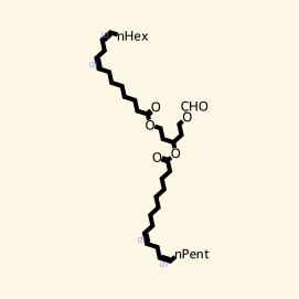 CCCCC/C=C\C/C=C\CCCCCCCC(=O)OC(CCOC=O)CCOC(=O)CCCCCC/C=C\C/C=C\CCCCCC